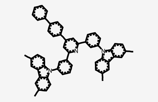 Cc1ccc2c(c1)c1cc(C)ccc1n2-c1cccc(-c2cc(-c3ccc(-c4ccccc4)cc3)cc(-c3cccc(-n4c5ccc(C)cc5c5cc(C)ccc54)c3)n2)c1